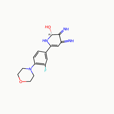 N=C1C=C(c2ccc(N3CCOCC3)c(F)c2)N[C@H](O)C1=N